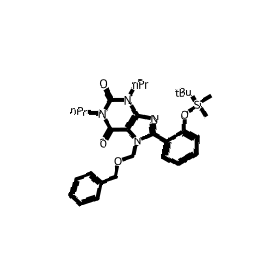 CCCn1c(=O)c2c(nc(-c3ccccc3O[Si](C)(C)C(C)(C)C)n2COCc2ccccc2)n(CCC)c1=O